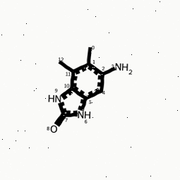 Cc1c(N)cc2[nH]c(=O)[nH]c2c1C